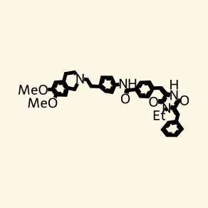 CCn1c(=O)c(=Cc2ccc(C(=O)Nc3ccc(CCN4CCc5cc(OC)c(OC)cc5C4)cc3)cc2)[nH]c(=O)c1=Cc1ccccc1